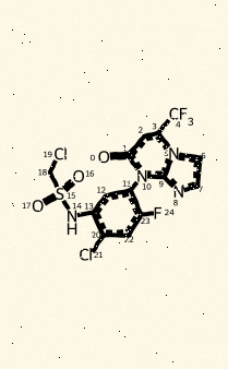 O=c1cc(C(F)(F)F)n2ccnc2n1-c1cc(NS(=O)(=O)CCl)c(Cl)cc1F